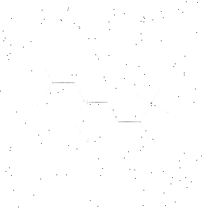 CC(C)CN(CCC(C)C(F)(F)F)SS